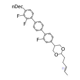 C/C=C/CCC1OCC(c2ccc(-c3ccc(-c4ccc(CCCCCCCCCC)c(F)c4F)cc3)c(F)c2)CO1